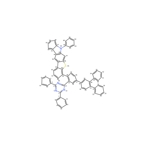 c1ccc(-c2nc(-c3ccccc3)nc(-c3cc(-c4ccc(-c5ccccc5)c(-c5ccccc5)c4)ccc3-c3cccc4c3sc3cc5c(cc34)c3ccccc3n5-c3ccccc3)n2)cc1